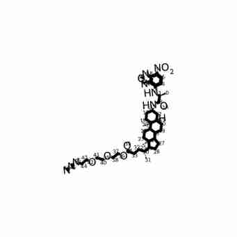 C[C@H](Nc1ccc([N+](=O)[O-])c2nonc12)C(=O)N[C@@H]1CC[C@]2(C)C3CC[C@@]4(C)C(CCC4[C@H](C)CCC(=O)OCCOCCOCCN=[N+]=[N-])C3CC[C@@H]2C1